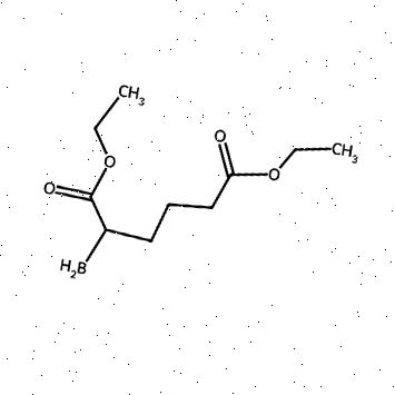 BC(CCCC(=O)OCC)C(=O)OCC